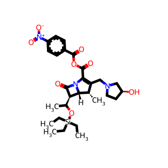 CC[Si](CC)(CC)OC(C)[C@H]1C(=O)N2C(C(=O)OC(=O)c3ccc([N+](=O)[O-])cc3)=C(CN3CC[C@H](O)C3)[C@H](C)[C@H]12